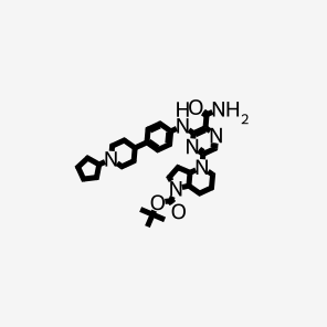 CC(C)(C)OC(=O)N1CCC2C1CCCN2c1cnc(C(N)=O)c(Nc2ccc(C3CCN(C4CCCC4)CC3)cc2)n1